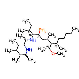 C=C(CNC(=C)C(C)C(C)CC)N[C@H]([C@@H](C)CC)[C@@H](P)CC(C)C([C@@H](C)CCCCC)[C@@H](C)OC